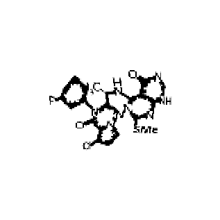 CSc1nc(N[C@@H](C)c2nn3ccc(Cl)c3c(=O)n2-c2cccc(F)c2)c2c(=O)nc[nH]c2n1